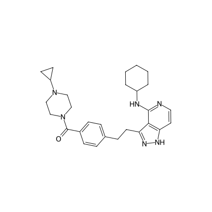 O=C(c1ccc(CCc2n[nH]c3ccnc(NC4CCCCC4)c23)cc1)N1CCN(C2CC2)CC1